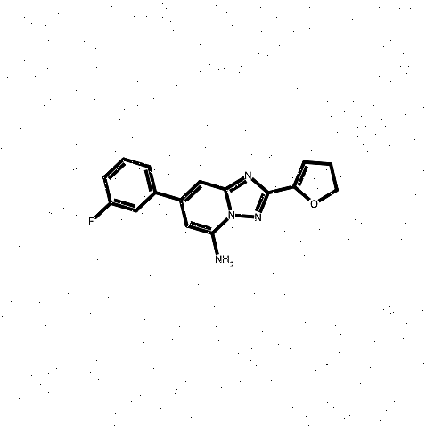 Nc1cc(-c2cccc(F)c2)cc2nc(C3=CCCO3)nn12